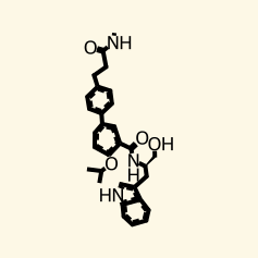 CNC(=O)CCc1ccc(-c2ccc(OC(C)C)c(C(=O)N[C@@H](CO)Cc3c[nH]c4ccccc34)c2)cc1